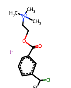 CCC(Cl)c1cccc(C(=O)OCC[N+](C)(C)C)c1.[I-]